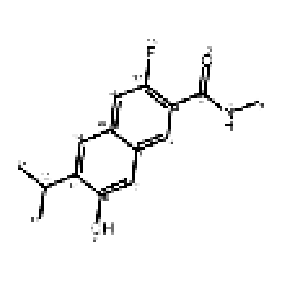 CNC(=O)c1cc2cc(O)c(C(C)C)cc2cc1F